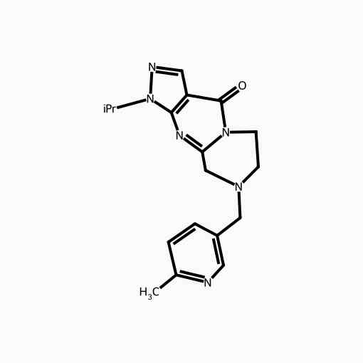 Cc1ccc(CN2CCn3c(nc4c(cnn4C(C)C)c3=O)C2)cn1